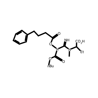 CCCCOC(=O)N(OC(=O)CCCc1ccccc1)C(=N)N(C)C(CC)C(=O)O